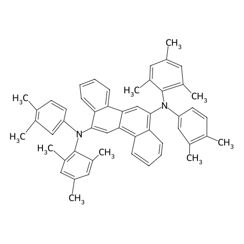 Cc1cc(C)c(N(c2ccc(C)c(C)c2)c2cc3c4ccccc4c(N(c4ccc(C)c(C)c4)c4c(C)cc(C)cc4C)cc3c3ccccc23)c(C)c1